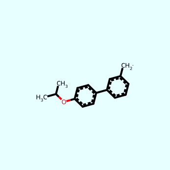 [CH2]c1cccc(-c2ccc(OC(C)C)cc2)c1